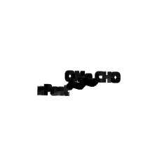 CCCCCC(C/C=C/C=O)OC